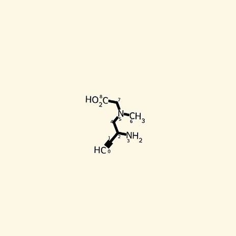 C#CC(N)CN(C)CC(=O)O